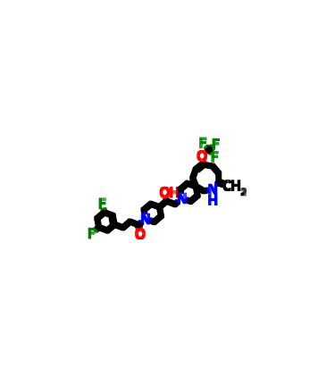 C=C1CC/C(OC(F)(F)F)=C\CC2(CCN(CC(O)C3CCN(C(=O)CCC4=CC(F)CC(F)C4)CC3)CC2)CN1